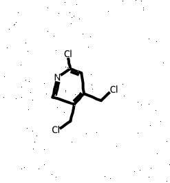 ClCc1cnc(Cl)cc1CCl